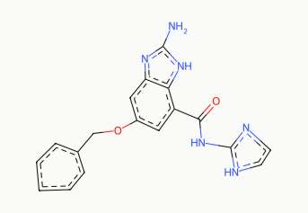 Nc1nc2cc(OCc3ccccc3)cc(C(=O)Nc3ncc[nH]3)c2[nH]1